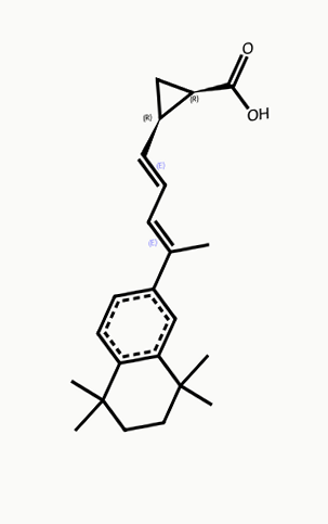 C/C(=C\C=C\[C@H]1C[C@H]1C(=O)O)c1ccc2c(c1)C(C)(C)CCC2(C)C